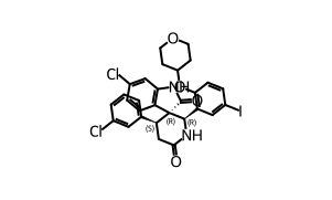 O=C1C[C@@H](c2cccc(Cl)c2)[C@]2(C(=O)Nc3cc(Cl)ccc32)[C@@H](c2cc(I)ccc2OC2CCOCC2)N1